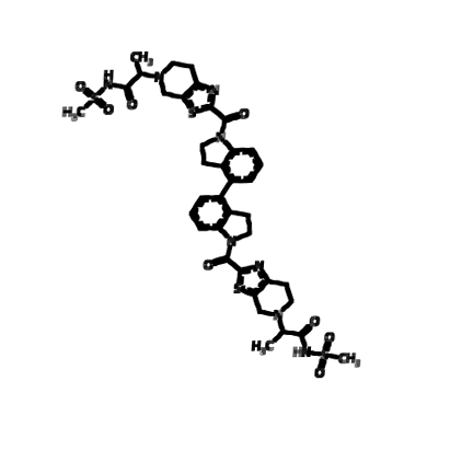 CC(C(=O)NS(C)(=O)=O)N1CCc2nc(C(=O)N3CCc4c(-c5cccc6c5CCN6C(=O)c5nc6c(s5)CN(C(C)C(=O)NS(C)(=O)=O)CC6)cccc43)sc2C1